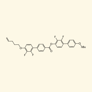 C=CCCCOc1ccc(-c2ccc(C(=O)Oc3ccc(-c4ccc(OCCCC)cc4)c(F)c3F)cc2)c(F)c1F